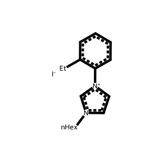 CCCCCCn1cc[n+](-c2ccccc2CC)c1.[I-]